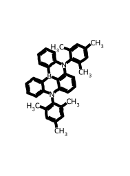 Cc1cc(C)c(N2c3ccccc3B3c4ccccc4N(c4c(C)cc(C)cc4C)c4cccc2c43)c(C)c1